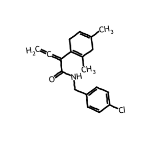 C=C=C(C(=O)NCc1ccc(Cl)cc1)C1=C(C)CC(C)=CC1